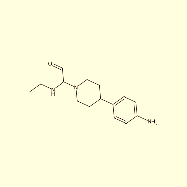 CCNC(C=O)N1CCC(c2ccc(N)cc2)CC1